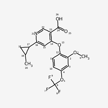 COc1cc(OC(F)(F)F)ccc1Oc1cc(C2CC2C)ncc1C(=O)O